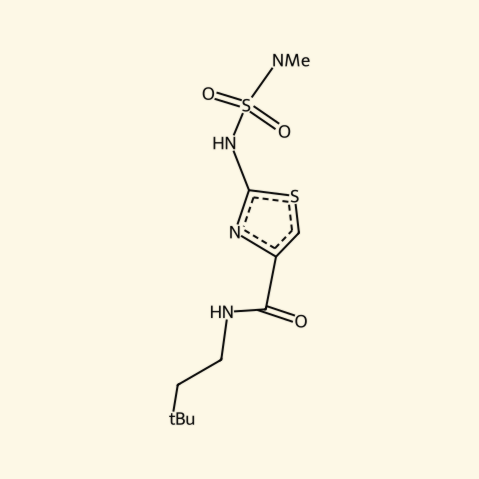 CNS(=O)(=O)Nc1nc(C(=O)NCCC(C)(C)C)cs1